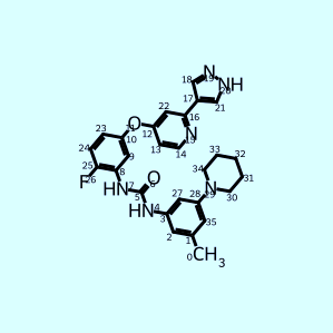 Cc1cc(NC(=O)Nc2cc(Oc3ccnc(-c4cn[nH]c4)c3)ccc2F)cc(N2CCCCC2)c1